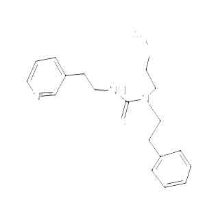 CC(=O)SCCN(CCc1ccccc1)C(=O)NCCc1cccnc1